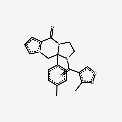 Cc1ccc(C23Cn4cccc4C(=O)N2CCN3C(=O)c2conc2C)cc1